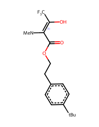 [CH2-][NH2+]/C(C(=O)OCCc1ccc(C(C)(C)C)cc1)=C(/O)C(F)(F)F